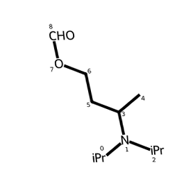 CC(C)N(C(C)C)C(C)CCOC=O